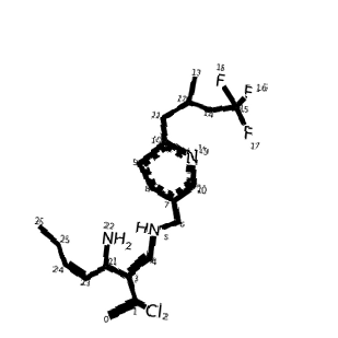 C=C(Cl)/C(=C/NCc1ccc(CC(C)CC(F)(F)F)nc1)C(N)/C=C\CC